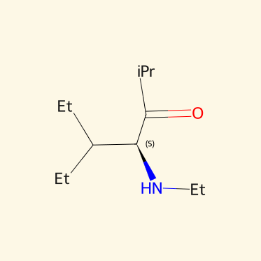 CCN[C@H](C(=O)C(C)C)C(CC)CC